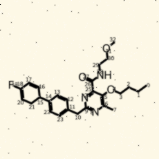 CCCCOc1c(C)nc(Cc2ccc(C3C=CC(F)=CC3)cc2)nc1C(=O)NCCOC